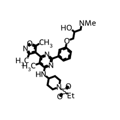 CCS(=O)(=O)N1CCC(Nc2nc(-c3cccc(OCC(O)CNC)c3)nc(-c3c(C)noc3C)c2C)CC1